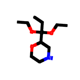 CCO[Si](CC)(OCC)C1CNCCO1